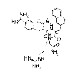 CN(C)C(=O)C(Cc1ccc(C(=N)N)cc1)C(=O)N[C@@H](Cc1ccc2ccccc2c1)C(=O)N[C@@H](CCCNC(=N)N)C(N)=O